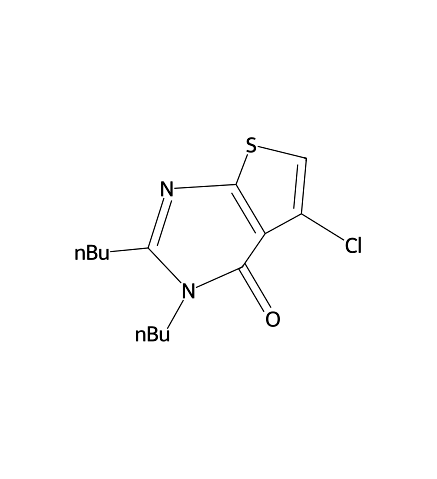 CCCCc1nc2scc(Cl)c2c(=O)n1CCCC